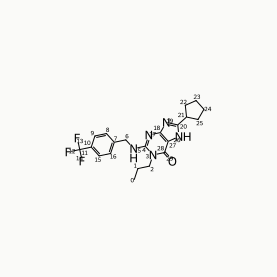 CCCn1c(NCc2ccc(C(F)(F)F)cc2)nc2nc(C3CCCC3)[nH]c2c1=O